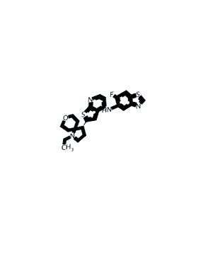 CCN1CC[C@@H](c2cc3c(Nc4cc5ncsc5cc4F)ccnc3s2)C12CCOCC2